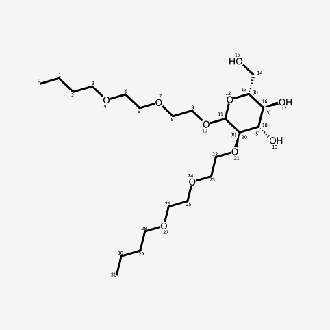 CCCCOCCOCCOC1O[C@H](CO)[C@@H](O)[C@H](O)[C@H]1OCCOCCOCCCC